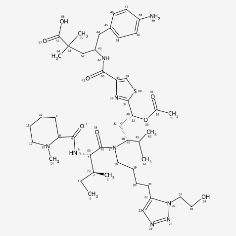 CC[C@H](C)[C@H](NC(=O)C1CCCCN1C)C(=O)N(CCCCc1cnnn1CCO)[C@H](C[C@@H](OC(C)=O)c1nc(C(=O)NC(Cc2ccc(N)cc2)CC(C)(C)C(=O)O)cs1)C(C)C